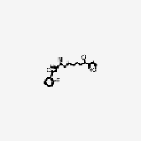 N[C@@H](CCCCCC(=O)c1ccon1)c1cc(-c2ccccc2F)on1